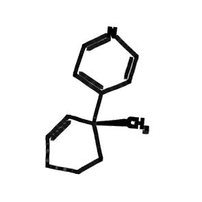 C[C@]1(c2ccncc2)C=CCCC1